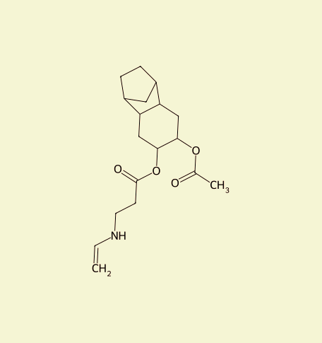 C=CNCCC(=O)OC1CC2C3CCC(C3)C2CC1OC(C)=O